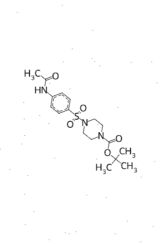 CC(=O)Nc1ccc(S(=O)(=O)N2CCN(C(=O)OC(C)(C)C)CC2)cc1